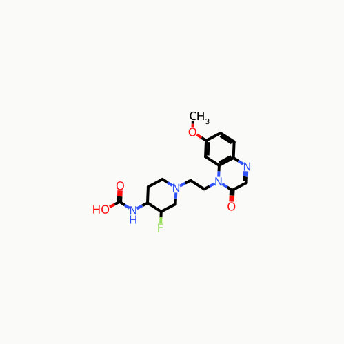 COc1ccc2ncc(=O)n(CCN3CCC(NC(=O)O)C(F)C3)c2c1